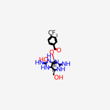 N=C1NC2[C@H](CO)NC(=N)N3C[C@H](OC(=O)c4ccc(C(F)(F)F)cc4)[C@H](O)[C@]23N1